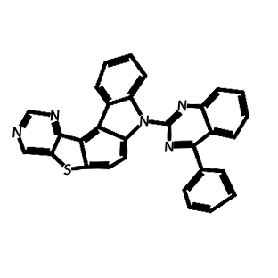 c1ccc(-c2nc(-n3c4ccccc4c4c5c(ccc43)sc3cncnc35)nc3ccccc23)cc1